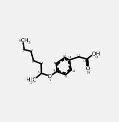 CCCCCC(C)Oc1ccc(CC(=O)O)cc1